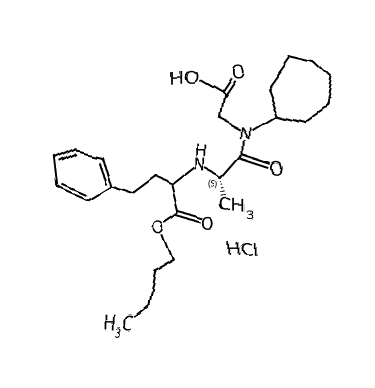 CCCCOC(=O)C(CCc1ccccc1)N[C@@H](C)C(=O)N(CC(=O)O)C1CCCCCC1.Cl